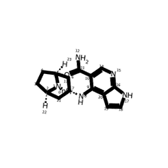 CCCN1[C@@H]2CC[C@H]1C[C@H](Nc1c(C(N)=O)cnc3[nH]ccc13)C2